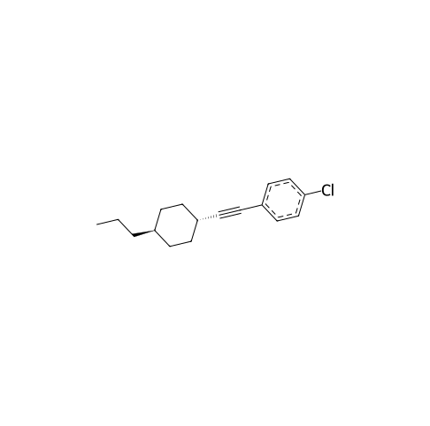 CCC[C@H]1CC[C@H](C#Cc2ccc(Cl)cc2)CC1